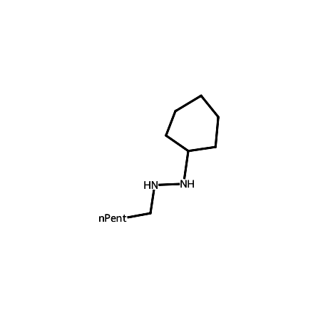 CCCCCCNNC1CCCCC1